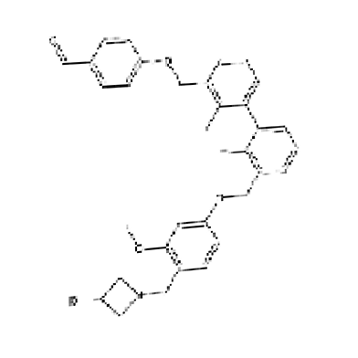 COc1cc(OCc2cccc(-c3cccc(COc4ccc(C=O)cc4)c3C)c2C)ccc1CN1CC(O)C1